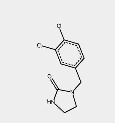 O=C1NCCN1Cc1ccc(Cl)c(Cl)c1